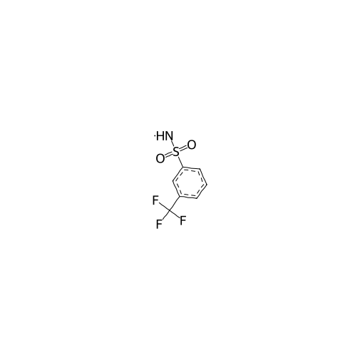 [NH]S(=O)(=O)c1cccc(C(F)(F)F)c1